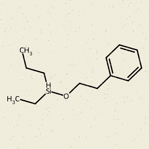 CCC[SiH](CC)OCCc1ccccc1